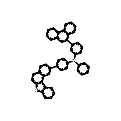 c1ccc(N(c2ccc(-c3ccc4ccc5oc6ccccc6c5c4c3)cc2)c2cccc(-c3cc4ccccc4c4ccccc34)c2)cc1